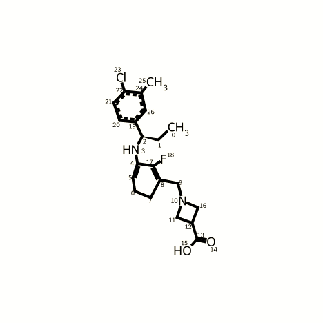 CC[C@@H](NC1=CCCC(CN2CC(C(=O)O)C2)=C1F)c1ccc(Cl)c(C)c1